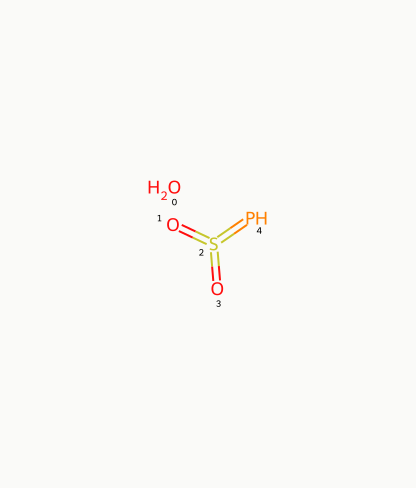 O.O=S(=O)=P